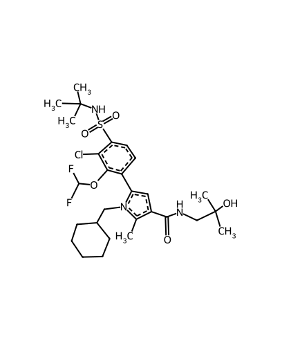 Cc1c(C(=O)NCC(C)(C)O)cc(-c2ccc(S(=O)(=O)NC(C)(C)C)c(Cl)c2OC(F)F)n1CC1CCCCC1